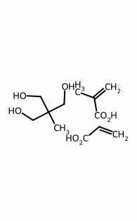 C=C(C)C(=O)O.C=CC(=O)O.CC(CO)(CO)CO